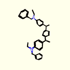 CCN(Cc1ccccc1)c1ccc(C(C)c2ccc(C(C)c3ccc(N(CC)Cc4ccccc4)cc3)cc2)cc1